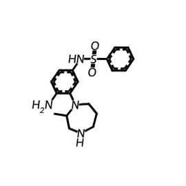 CC1CNCCCN1c1cc(NS(=O)(=O)c2ccccc2)ccc1N